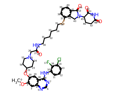 COc1cc2ncnc(Nc3cccc(Cl)c3F)c2cc1OC1CCN(CC(=O)NCCCCCCSc2cccc3c2CN(C2CCC(=O)NC2=O)C3=O)CC1